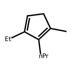 CCCC1=C(C)CC=C1CC